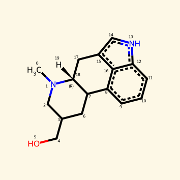 CN1CC(CO)CC2c3cccc4[nH]cc(c34)C[C@H]21